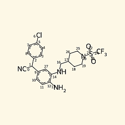 N#CC(c1ccc(Cl)cc1)c1ccc(N)c(NCC2CCN(S(=O)(=O)C(F)(F)F)CC2)c1